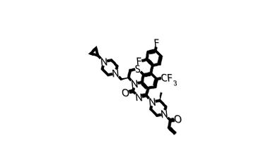 C=CC(=O)N1CCN(c2nc(=O)n3c4c(c(-c5ccc(F)cc5F)c(C(F)(F)F)cc24)SC[C@@H]3CN2CCN(C3CC3)CC2)[C@@H](C)C1